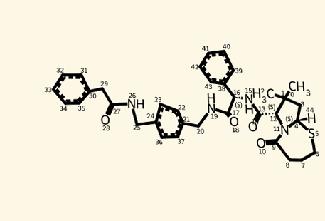 CC1(C)C[C@@H]2SCCCC(=O)N2[C@@H]1C(=O)N[C@H](C(=O)NCc1ccc(CNC(=O)Cc2ccccc2)cc1)c1ccccc1